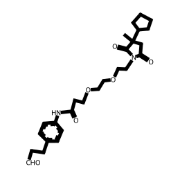 CC1(C2CCCC2)CC(=O)N(CCOCCOCCC(=O)Nc2ccc(CCC=O)cc2)C1=O